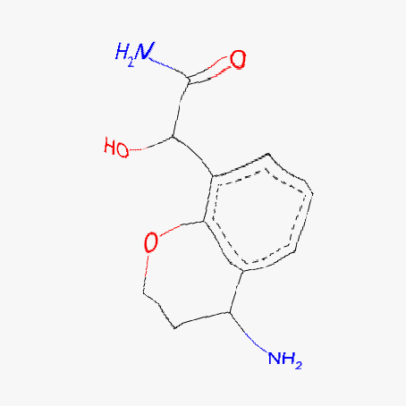 NC(=O)C(O)c1cccc2c1OCCC2N